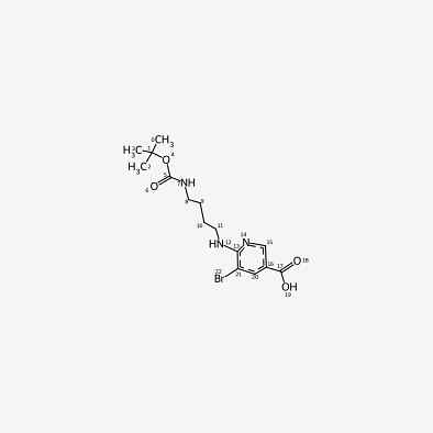 CC(C)(C)OC(=O)NCCCCNc1ncc(C(=O)O)cc1Br